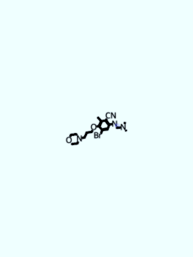 Cc1c(C#N)c(/N=C/N(C)C)cc(Br)c1OCCCN1CCOCC1